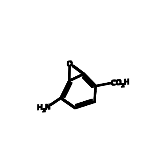 Nc1ccc(C(=O)O)c2c1O2